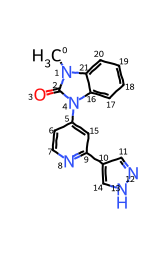 Cn1c(=O)n(-c2ccnc(-c3cn[nH]c3)c2)c2ccccc21